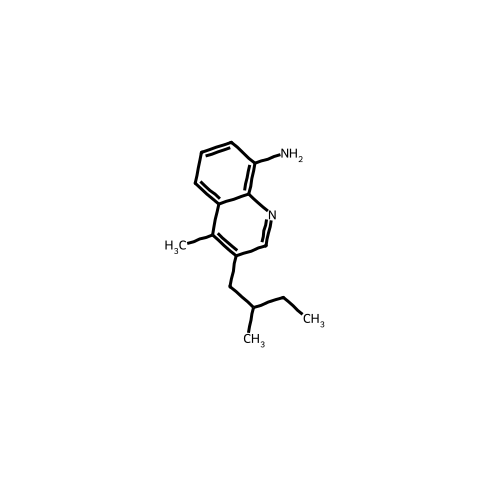 CCC(C)Cc1cnc2c(N)cccc2c1C